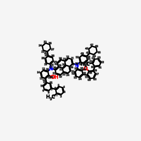 Cc1ccccc1-c1cccc(-c2cccc(N(c3ccc(C4CCCCC4)cc3)c3ccc4ccc5c(N(c6ccc(C7CCCCC7)cc6)c6cccc7c6oc6c(-c8ccccc8C)cccc67)ccc6ccc3c4c65)c2O)c1